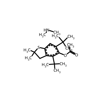 CC(=O)Oc1c(C(C)(C)C)cc2c(c1C(C)(C)C)CC(C)(C)S2.CNC